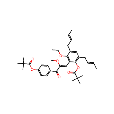 CC=CCc1cc(CC=CC)c(OC(=O)C(C)(C)C)c(C=C(OC)C(=O)c2ccc(OC(=O)C(C)(C)C)cc2)c1OCC